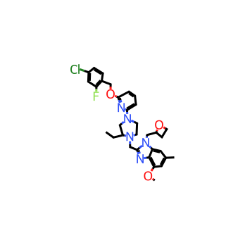 CCC1CN(c2cccc(OCc3ccc(Cl)cc3F)n2)CCN1Cc1nc2c(OC)cc(C)cc2n1CC1CCO1